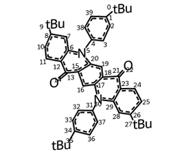 CC(C)(C)c1ccc(-n2c3cc(C(C)(C)C)ccc3c(=O)c3cc4c(cc32)c(=O)c2ccc(C(C)(C)C)cc2n4-c2ccc(C(C)(C)C)cc2)cc1